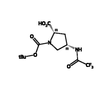 CC(C)(C)OC(=O)N1C[C@@H](NC(=O)C(F)(F)F)C[C@H]1C(=O)O